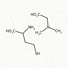 CN(C)CC(=O)O.NC(CCS)C(=O)O